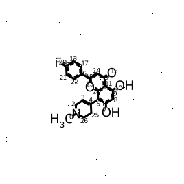 CN1CC=C(c2c(O)cc(O)c3c(=O)cc(-c4ccc(F)cc4)oc23)CC1